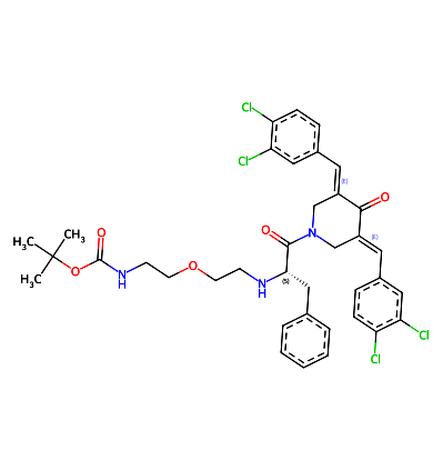 CC(C)(C)OC(=O)NCCOCCN[C@@H](Cc1ccccc1)C(=O)N1C/C(=C\c2ccc(Cl)c(Cl)c2)C(=O)/C(=C/c2ccc(Cl)c(Cl)c2)C1